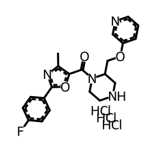 Cc1nc(-c2ccc(F)cc2)oc1C(=O)N1CCNCC1COc1cccnc1.Cl.Cl.Cl